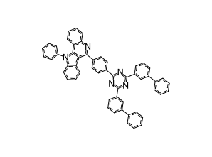 c1ccc(-c2cccc(-c3nc(-c4ccc(-c5nc6ccccc6c6c5c5ccccc5n6-c5ccccc5)cc4)nc(-c4cccc(-c5ccccc5)c4)n3)c2)cc1